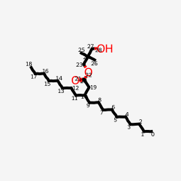 CCCCCCCCCCC(CCCCCCCC)CC(=O)OCC(C)(C)CO